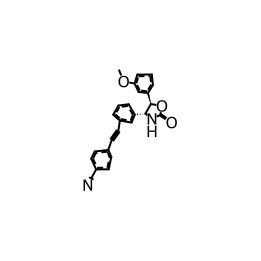 COc1cccc([C@H]2OC(=O)N[C@@H]2c2cccc(C#Cc3ccc(C#N)cc3)c2)c1